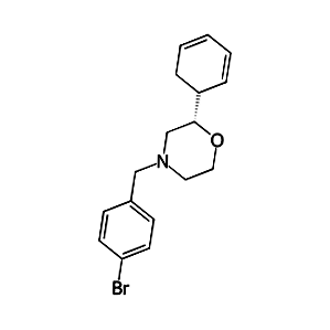 Brc1ccc(CN2CCO[C@@H](C3C=CC=CC3)C2)cc1